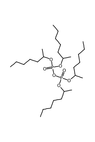 CCCCCC(C)OP(=O)(OC(C)CCCCC)OP(=O)(OC(C)CCCCC)OC(C)CCCCC